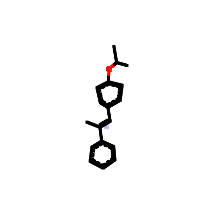 C/C(=C\c1ccc(OC(C)C)cc1)c1ccccc1